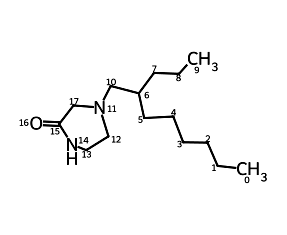 CCCCCCC(CCC)CN1CCNC(=O)C1